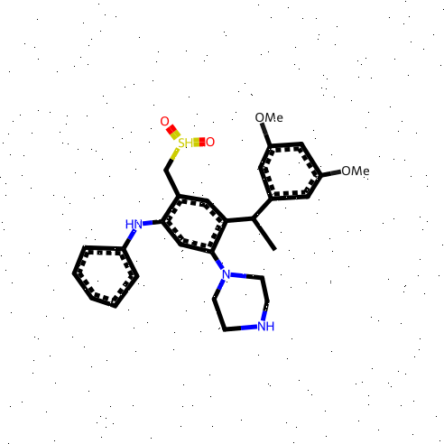 COc1cc(OC)cc(C(C)c2cc(C[SH](=O)=O)c(Nc3ccccc3)cc2N2CCNCC2)c1